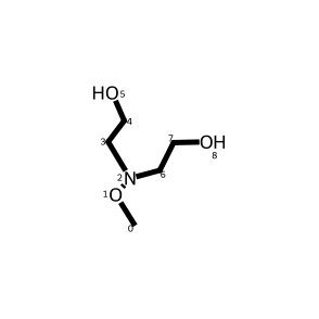 CON(CCO)CCO